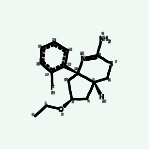 CCO[C@@H]1C[C@H]2CSC(N)=N[C@@]2(c2ccccc2F)C1